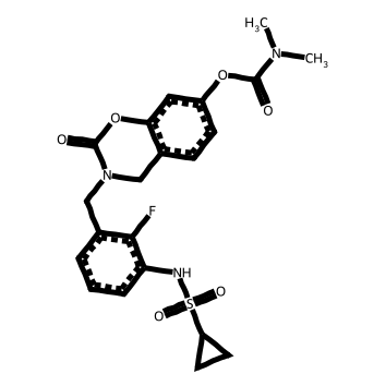 CN(C)C(=O)Oc1ccc2c(c1)OC(=O)N(Cc1cccc(NS(=O)(=O)C3CC3)c1F)C2